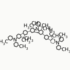 Cc1cccc(N(C2=CC3=C(CC2)c2ccc(-c4cc5c6c(c4)c4cc(-c7ccc8c(c7)C(C)(C)c7cc(N(c9cccc(C)c9)c9cccc(C)c9)ccc7-8)cc7c4n6-c4c(cccc4C7(C)C)C5(C)C)cc2C3(C)C)c2cccc(C)c2)c1